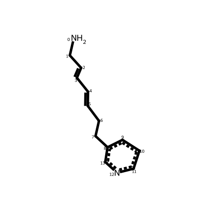 NC/C=C/C=C/CCc1cccnc1